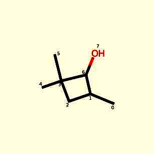 CC1CC(C)(C)C1O